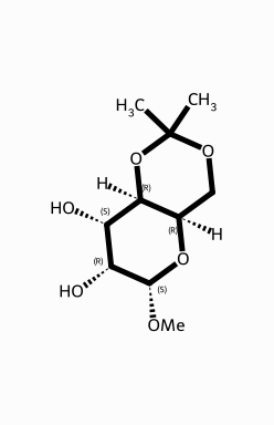 CO[C@H]1O[C@@H]2COC(C)(C)O[C@@H]2[C@@H](O)[C@H]1O